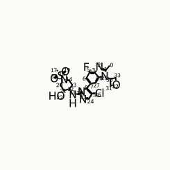 Cc1nc2c(F)cc(-c3nc(NC4CCN(S(C)(=O)=O)CC4O)ncc3Cl)cc2n1C1COC1